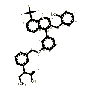 CCC(C(=O)O)c1cccc(COc2cccc(-c3c(Cc4ccccc4C)cnc4c(C(F)(F)F)cccc34)c2)c1